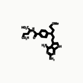 COCCC(CCc1c[nH]c2nc(N)nc(N)c12)c1ccc(C(=O)N[C@@H](CCC(=O)O)C(=O)O)cc1